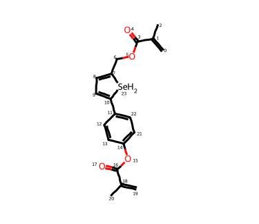 C=C(C)C(=O)OCC1=CC=C(c2ccc(OC(=O)C(=C)C)cc2)[SeH2]1